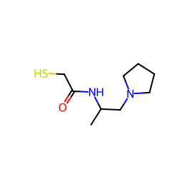 CC(CN1CCCC1)NC(=O)CS